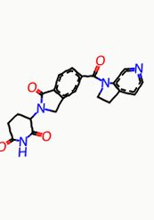 O=C1CCC(N2Cc3cc(C(=O)N4CCc5ccncc54)ccc3C2=O)C(=O)N1